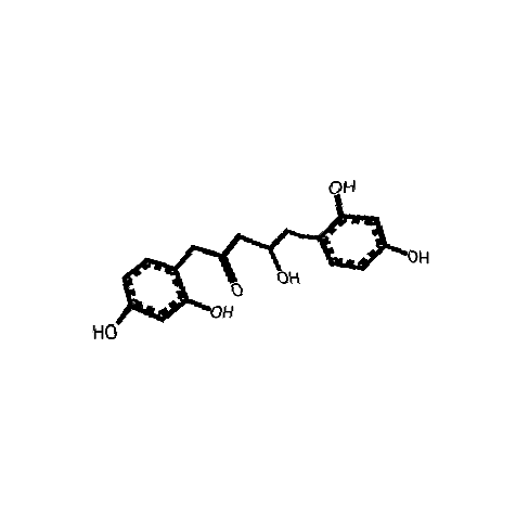 O=C(Cc1ccc(O)cc1O)CC(O)Cc1ccc(O)cc1O